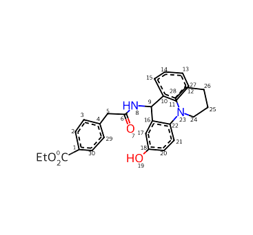 CCOC(=O)c1ccc(CC(=O)NC(c2ccccc2)c2cc(O)ccc2N2CCCCC2)cc1